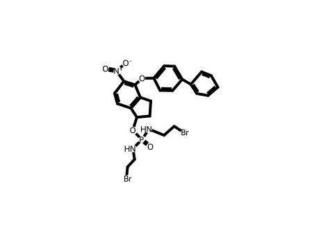 O=[N+]([O-])c1ccc2c(c1Oc1ccc(-c3ccccc3)cc1)CCC2OP(=O)(NCCBr)NCCBr